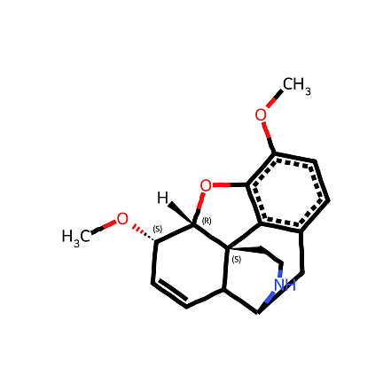 COc1ccc2c3c1O[C@H]1[C@@H](OC)C=CC4C(C2)NCC[C@@]341